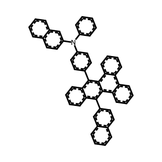 c1ccc(N(c2ccc(-c3c4ccccc4c(-c4ccc5ccccc5c4)c4c5ccccc5c5ccccc5c34)cc2)c2ccc3ccccc3c2)cc1